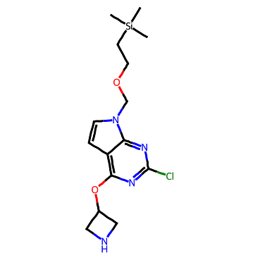 C[Si](C)(C)CCOCn1ccc2c(OC3CNC3)nc(Cl)nc21